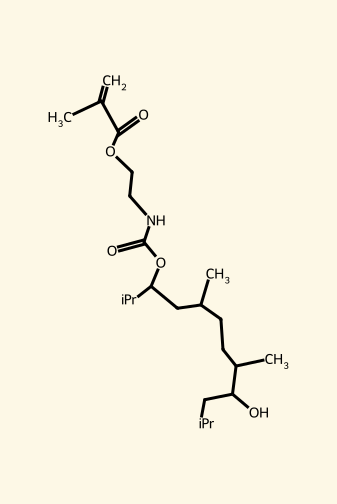 C=C(C)C(=O)OCCNC(=O)OC(CC(C)CCC(C)C(O)CC(C)C)C(C)C